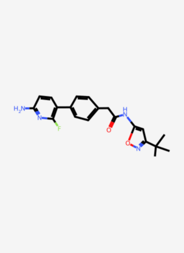 CC(C)(C)c1cc(NC(=O)Cc2ccc(-c3ccc(N)nc3F)cc2)on1